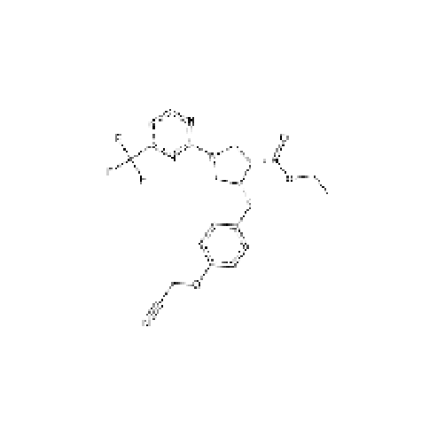 CCOC(=O)[C@H]1CN(c2nccc(C(F)(F)F)n2)C[C@H]1Cc1ccc(OCC#N)cc1